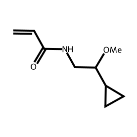 C=CC(=O)NCC(OC)C1CC1